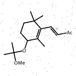 COC(C)(C)OC1CCC(C)(C)C(/C=C/C(C)=O)=C1C